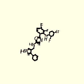 CCc1ccc(Nc2c(-c3nnc(NCc4c[nH]nc4-c4ccccc4)o3)ccc(F)c2F)c(F)c1